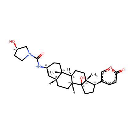 C[C@]12CC[C@H](NC(=O)N3CC[C@@H](O)C3)C[C@H]1CC[C@@H]1[C@@H]2CC[C@]2(C)[C@@H](c3ccc(=O)oc3)CC[C@]12O